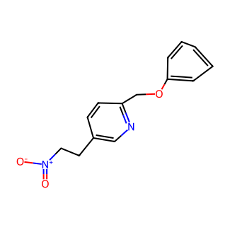 O=[N+]([O-])CCc1ccc(COc2ccccc2)nc1